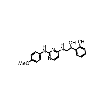 COc1ccc(Nc2nccc(NCC(O)c3ccccc3C)n2)cc1